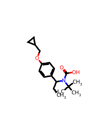 CCC(c1ccc(OCC2CC2)cc1)N(C(=O)O)C(C)(C)C